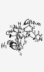 COc1cc(-c2ccncc2)c(C)cc1Nc1ncc(Cl)c(Nc2ccccc2S(=O)(=O)N(C)C)n1